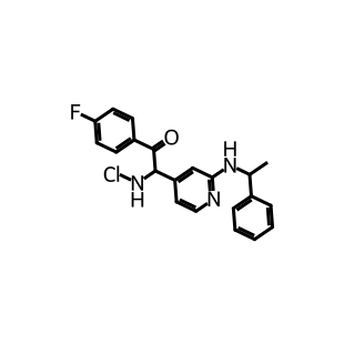 CC(Nc1cc(C(NCl)C(=O)c2ccc(F)cc2)ccn1)c1ccccc1